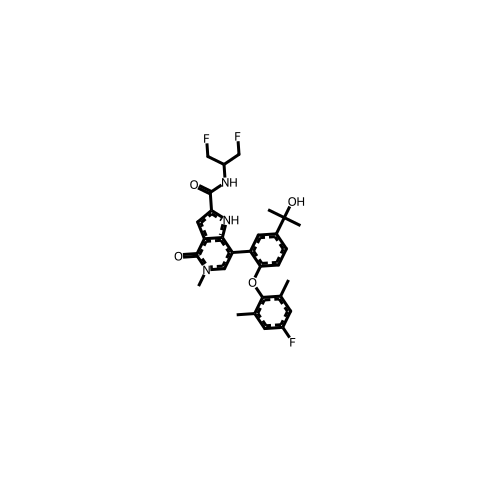 Cc1cc(F)cc(C)c1Oc1ccc(C(C)(C)O)cc1-c1cn(C)c(=O)c2cc(C(=O)NC(CF)CF)[nH]c12